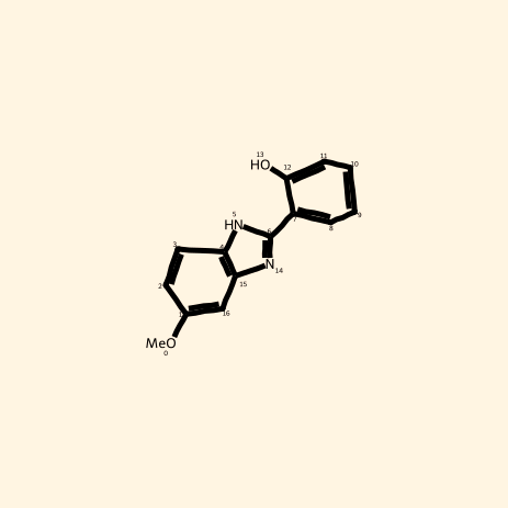 COc1ccc2[nH]c(-c3ccccc3O)nc2c1